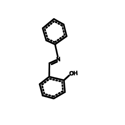 Oc1ccccc1C=Nc1ccccc1